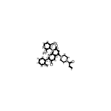 C=CC(=O)N1CCN(c2cc(=O)n(-c3c(C(C)C)ccnc3C(C)C)c3nc(-c4ccccc4F)c(Cl)cc23)CC1